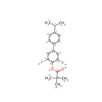 CC(C)c1ccc(-c2cc(F)c(OC(=O)C(C)(C)C)c(F)c2)cc1